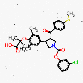 CSc1ccc(C(=O)[C@@H]2CN(C(=O)Oc3cccc(Cl)c3)C[C@H]2c2cc(C)c(OC(C)(C)C(=O)O)c(C)c2)cc1